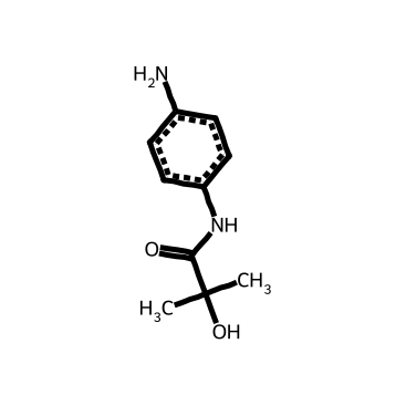 CC(C)(O)C(=O)Nc1ccc(N)cc1